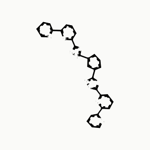 c1ccc(-c2cccc(-c3nnc(-c4cccc(-c5nnc(-c6cccc(-c7ccccn7)n6)o5)c4)o3)n2)nc1